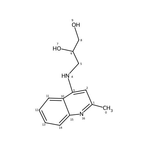 Cc1cc(NCC(O)CO)c2ccccc2n1